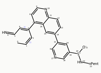 C/C=C\C(=C/C=N)c1ccnc2ccc(-c3cncc([S+]([O-])NCCCCC)c3)cc12